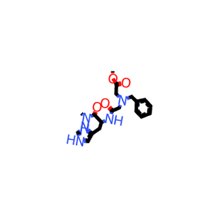 CNC(=O)C(Cc1c[nH]cn1)NC(=O)CN(CC(=O)OC)Cc1ccccc1